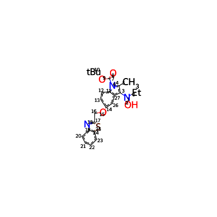 CCN(O)c1c(C)n(C(=O)OC(C)(C)C)c2ccc(OCc3nc4ccccc4s3)cc12